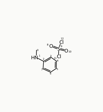 CNc1ccccc1.O=S(=O)(Cl)Cl